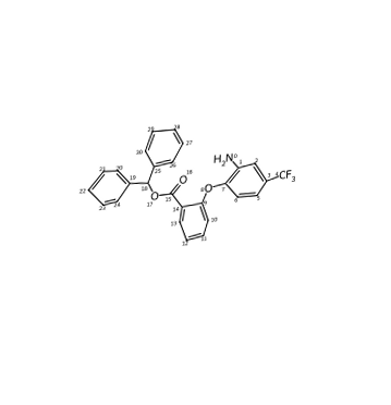 Nc1cc(C(F)(F)F)ccc1Oc1ccccc1C(=O)OC(c1ccccc1)c1ccccc1